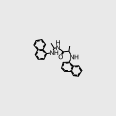 CC(NC(=O)C(C)Nc1cccc2ccccc12)Nc1cccc2ccccc12